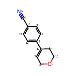 N#Cc1ccc(C2=CCOCC2)cc1